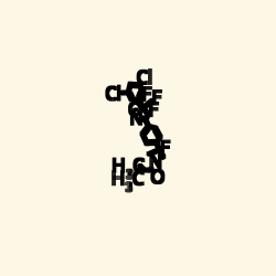 CC(C)C(=O)N1CC(F)(c2ccc(C3=NOC(c4cc(Cl)cc(Cl)c4)(C(F)(F)F)C3)cc2)C1